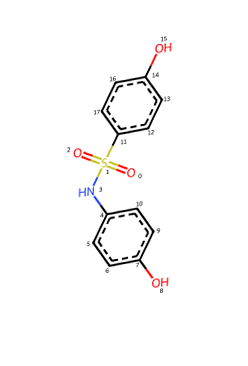 O=S(=O)(Nc1ccc(O)cc1)c1ccc(O)cc1